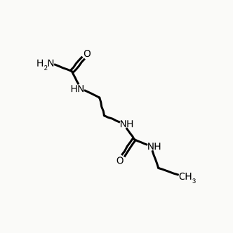 CCNC(=O)NCCNC(N)=O